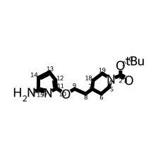 CC(C)(C)OC(=O)N1CCC(CCOc2cccc(N)n2)CC1